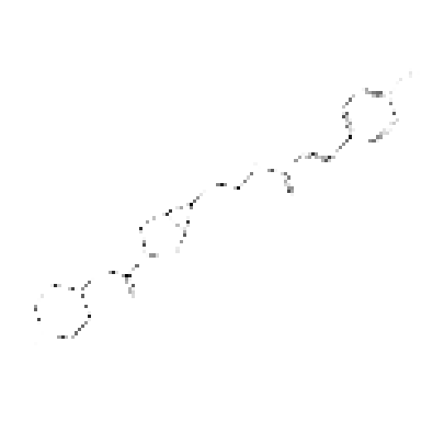 CN1CCC(OC(=O)N2CC3C(CCNC(=O)/C=C/c4ccc(N)nc4)C3C2)CC1